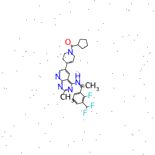 Cc1nc(N[C@H](C)c2cccc(C(F)F)c2F)c2cc(C3=CCN(C(=O)C4CCCC4)CC3)cnc2n1